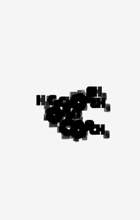 COc1ccc2c(c1)C(C(=O)N(Cc1ccc(N(C)C)cc1)c1ccccc1C(C)C)CCC2